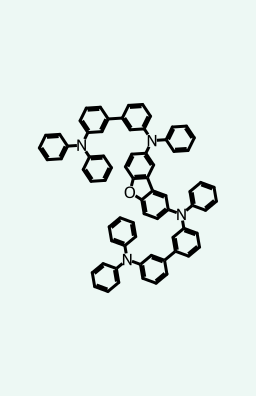 c1ccc(N(c2ccccc2)c2cccc(-c3cccc(N(c4ccccc4)c4ccc5oc6ccc(N(c7ccccc7)c7cccc(-c8cccc(N(c9ccccc9)c9ccccc9)c8)c7)cc6c5c4)c3)c2)cc1